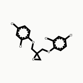 Clc1ccc(OCC2(COc3ccc(Cl)cc3Cl)CO2)c(Cl)c1